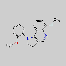 COc1ccccc1N1CCc2cnc3c(OC)cccc3c21